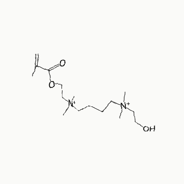 C=C(C)C(=O)OCC[N+](C)(C)CCCC[N+](C)(C)CCO